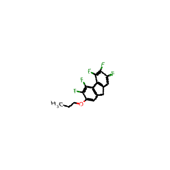 CCCOc1cc2c(c(F)c1F)-c1c(cc(F)c(F)c1F)C2